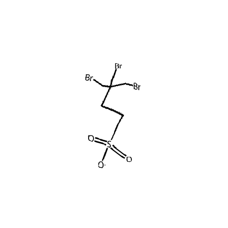 [O]S(=O)(=O)CCC(Br)(Br)Br